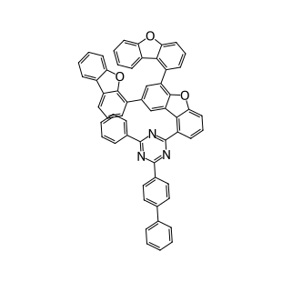 c1ccc(-c2ccc(-c3nc(-c4ccccc4)nc(-c4cccc5oc6c(-c7cccc8oc9ccccc9c78)cc(-c7cccc8c7oc7ccccc78)cc6c45)n3)cc2)cc1